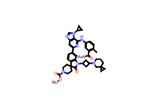 CNC(=O)c1cc(Nc2nc(-c3ccc4c(c3)N(C3CC(N5CCCC6(CC6)C5)C3)C(=O)C43CCN(C(=O)OC(C)(C)C)CC3)cc3ncn(C4CC4)c23)ccc1C